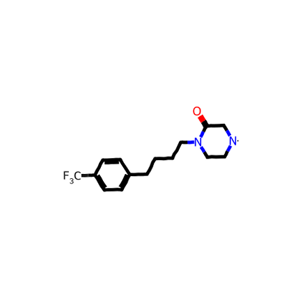 O=C1C[N]CCN1CCCCc1ccc(C(F)(F)F)cc1